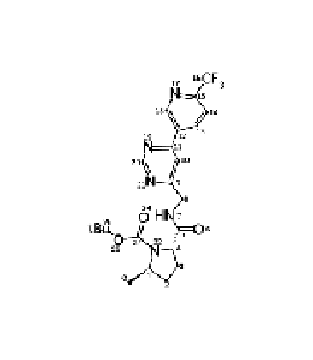 C[C@@H]1CC[C@@H](C(=O)NCc2cc(-c3ccc(C(F)(F)F)nc3)ncn2)N1C(=O)OC(C)(C)C